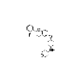 Fc1ccccc1C1CCc2cc(OC3CCC(NC4CCOCC4)CC3)ccc2O1